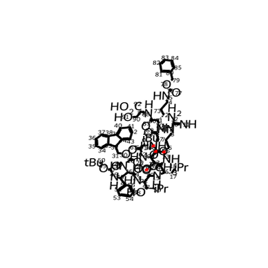 CC[C@H](C)[C@H](NC(=O)[C@@H](CCCNC(=N)N)NC(=O)[C@H](CC(C)C)NC(=O)[C@@H](NC(=O)[C@@H](NC(=O)OCC1c2ccccc2-c2ccccc21)[C@H](NC(=O)OC(C)(C)C)c1ccccc1)[C@H](O)C(C)C)C(=O)N[C@H](C(=O)NCC(=O)N[C@@H](CCCNC(=O)OCc1ccccc1)C(=O)N[C@@H](CO)C(=O)O)[C@H](C)O